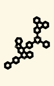 c1ccc(-c2ccc(-c3nc4ccccc4c4c(-c5ccc(-c6nc(-c7ccccc7)nc(-c7ccc8c9ccccc9c9ccccc9c8c7)n6)cc5)c5c(cc34)oc3ccccc35)cc2)cc1